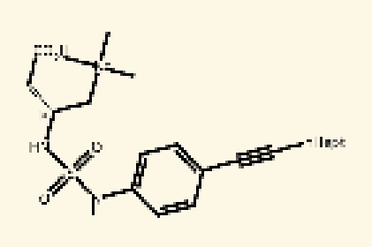 CCCCCCCC#Cc1ccc(NS(=O)(=O)N[C@H](CC(=O)O)C[N+](C)(C)C)cc1